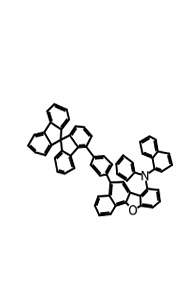 c1ccc(N(c2cccc3ccccc23)c2cccc3oc4c5ccccc5c(-c5ccc(-c6cccc7c6-c6ccccc6C76c7ccccc7-c7ccccc76)cc5)cc4c23)cc1